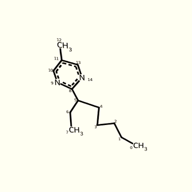 CCCCCC(CC)c1ncc(C)cn1